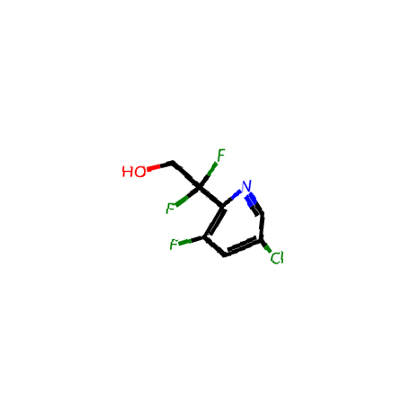 OCC(F)(F)c1ncc(Cl)cc1F